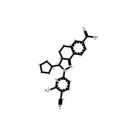 Cc1nc(N2N=C3c4ccc(C(=O)O)cc4CCC3C2C2CCCC2)ccc1C#N